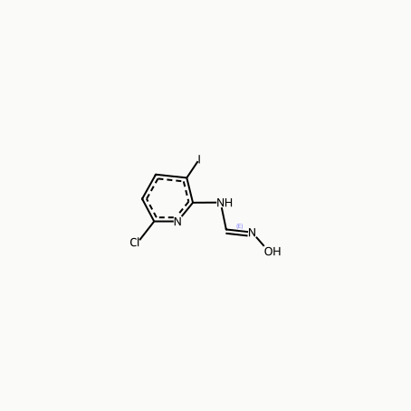 O/N=C/Nc1nc(Cl)ccc1I